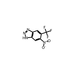 O=[N+]([O-])c1cc2[nH]nnc2cc1C(F)(F)F